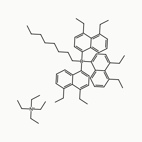 CCCCCCCC[B-](c1ccc(CC)c2c(CC)cccc12)(c1ccc(CC)c2c(CC)cccc12)c1ccc(CC)c2c(CC)cccc12.CC[N+](CC)(CC)CC